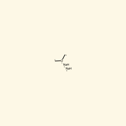 COC.[NaH].[NaH]